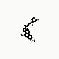 CC(CCC(=O)OC1(C)CCOC(=O)C1)C1CCC2C3C(O)CC4CC(O)CCC4(C)C3CCC12C